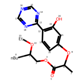 CCCCC(COC(=O)C(C)Oc1ccc(-c2ncncn2)c(O)c1)OCC